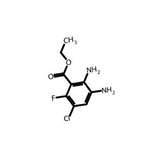 CCOC(=O)c1c(N)c(N)cc(Cl)c1F